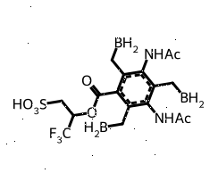 BCc1c(NC(C)=O)c(CB)c(C(=O)OC(CS(=O)(=O)O)C(F)(F)F)c(CB)c1NC(C)=O